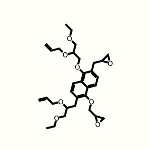 C=CCOC(COCC)COc1c(CC2CO2)ccc2c(OCC3CO3)c(CC(COCC)OCC=C)ccc12